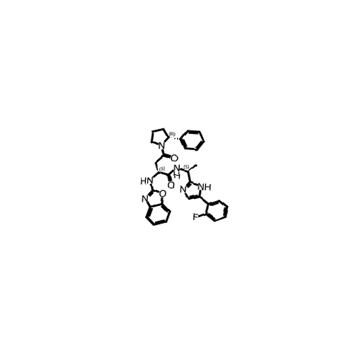 C[C@H](NC(=O)[C@H](CC(=O)N1CCC[C@@H]1c1ccccc1)Nc1nc2ccccc2o1)c1ncc(-c2ccccc2F)[nH]1